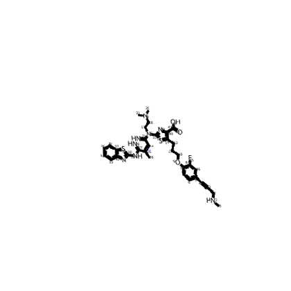 CNCC#Cc1ccc(OCCCc2sc(N(CCN(C)C)C(=N)/C=C(/C)C(=N)Nc3nc4ccccc4s3)nc2C(=O)O)c(F)c1